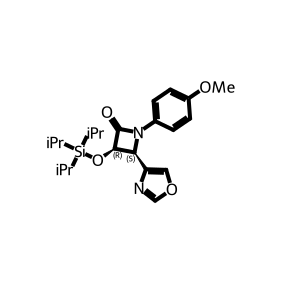 COc1ccc(N2C(=O)[C@H](O[Si](C(C)C)(C(C)C)C(C)C)[C@@H]2c2cocn2)cc1